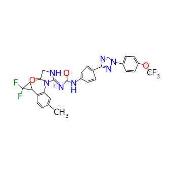 Cc1ccc(C2CC2(F)F)c(N2C(=O)CN/C2=N\C(=O)Nc2ccc(-c3ncn(-c4ccc(OC(F)(F)F)cc4)n3)cc2)c1